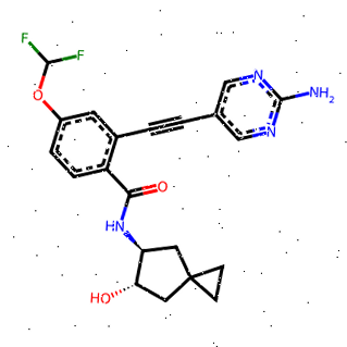 Nc1ncc(C#Cc2cc(OC(F)F)ccc2C(=O)N[C@H]2CC3(CC3)C[C@@H]2O)cn1